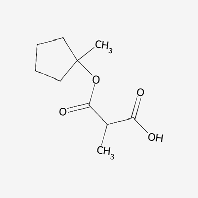 CC(C(=O)O)C(=O)OC1(C)CCCC1